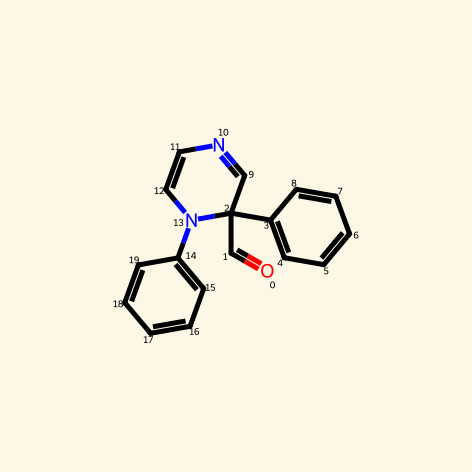 O=CC1(c2ccccc2)C=NC=CN1c1ccccc1